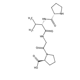 CC(C)[C@H](NC(=O)[C@@H]1CCCN1)C(=O)NCC(=O)N1CCC[C@H]1C(=O)O